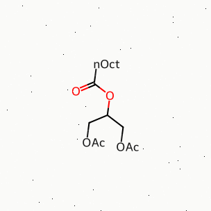 CCCCCCCCC(=O)OC(COC(C)=O)COC(C)=O